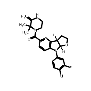 C=C1NCCN(C(=O)c2ccc3c(n2)[C@@H]2CCO[C@@H]2N3c2ccc(Cl)c(F)c2)C1(C)C